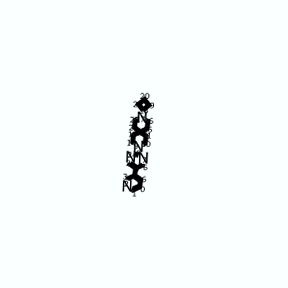 c1cncc(-c2cnc(N3CCC4(CC3)CCN(C3CCC3)CC4)nc2)c1